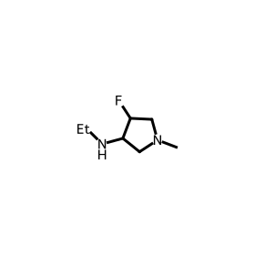 CCNC1CN(C)CC1F